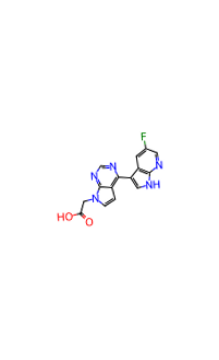 O=C(O)Cn1ccc2c(-c3c[nH]c4ncc(F)cc34)ncnc21